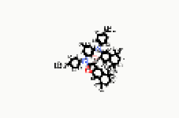 Cc1cc2c3c(c1)N(c1ccc(C(C)(C)C)cc1)c1oc4cc5c(cc4c1B3c1cc3c(cc1N2c1ccc(C(C)(C)C)cc1)C(C)(C)CCC3(C)C)C(C)(C)CCC5(C)C